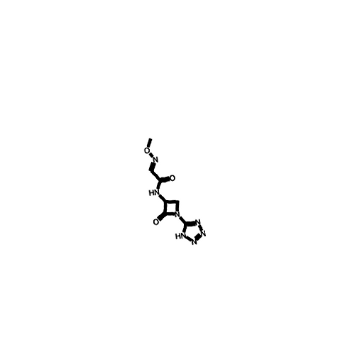 CON=CC(=O)NC1CN(c2nnn[nH]2)C1=O